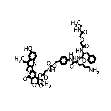 CCNC(=O)COCC(=O)N[C@@H](Cc1ccccc1)C(=O)N[C@@H](CCCCN)C(=O)Nc1ccc(COC(=O)NCC(=O)O[C@]2(CC)C(=O)OCc3c2cc2n(c3=O)Cc3c-2nc2ccc(O)cc2c3CC)cc1